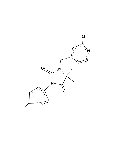 Cc1ccc(N2C(=O)N(Cc3ccnc(Cl)c3)C(C)(C)C2=O)cc1